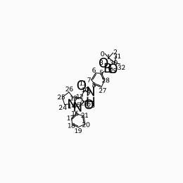 CC1(C)OB(c2ccc(NC(=O)c3c4n(n(-c5ccccc5)c3=O)CCC4)cc2)OC1(C)C